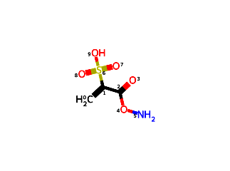 C=C(C(=O)ON)S(=O)(=O)O